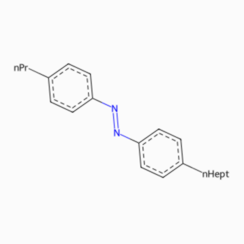 CCCCCCCc1ccc(/N=N/c2ccc(CCC)cc2)cc1